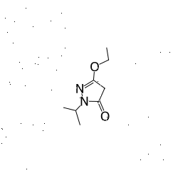 CCOC1=NN(C(C)C)C(=O)C1